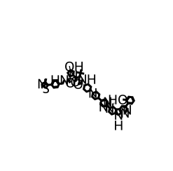 Cc1ncsc1-c1ccc(CNC(=O)[C@@H]2C[C@@H](O)CN2C(=O)[C@@H](NC(=O)[C@H]2CC[C@@H](N3CCC(c4cnc(N5CCc6[nH]c7nnc(-c8ccccc8O)cc7c6[C@H]5C)nc4)CC3)CC2)C(C)(C)C)cc1